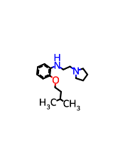 CC(C)CCOc1ccccc1NCCN1CCCC1